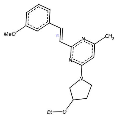 CCOC1CCN(c2cc(C)nc(/C=C/c3cccc(OC)c3)n2)C1